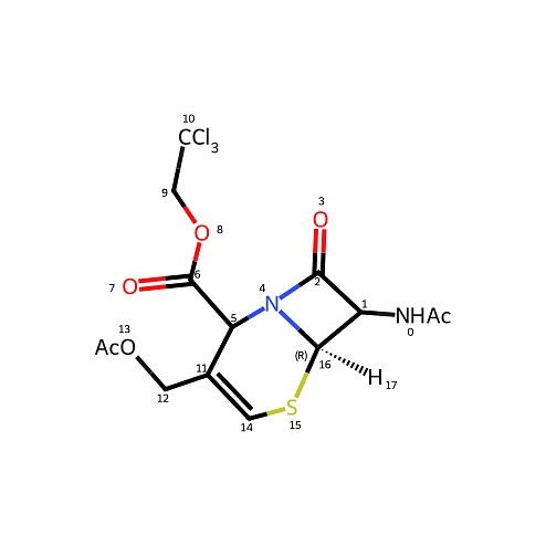 CC(=O)NC1C(=O)N2C(C(=O)OCC(Cl)(Cl)Cl)C(COC(C)=O)=CS[C@H]12